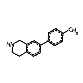 Cc1ccc(-c2ccc3c(c2)CNCC3)cc1